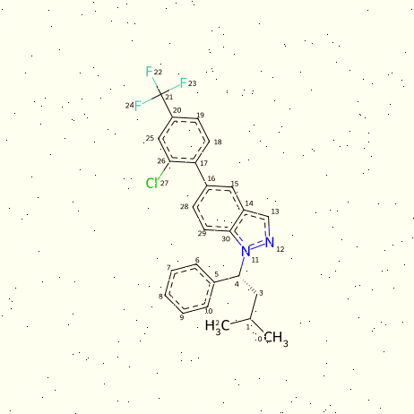 CC(C)C[C@H](c1ccccc1)n1ncc2cc(-c3ccc(C(F)(F)F)cc3Cl)ccc21